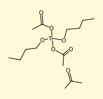 CC(C)=O.CCCC[O][Ti]([O]CCCC)([O]C(C)=O)[O]C(C)=O